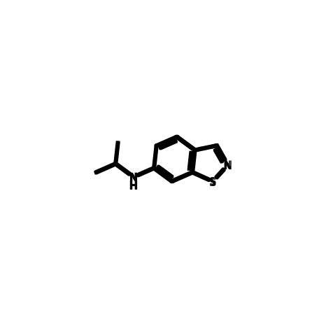 CC(C)Nc1ccc2cnsc2c1